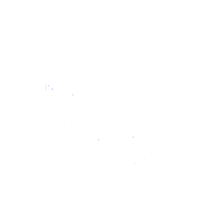 CC(=O)Nc1ccc(B2OCCCO2)cc1